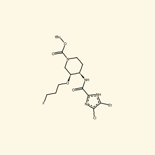 CCc1[nH]c(C(=O)N[C@@H]2CCN(C(=O)OC(C)(C)C)C[C@@H]2OCCCF)nc1Cl